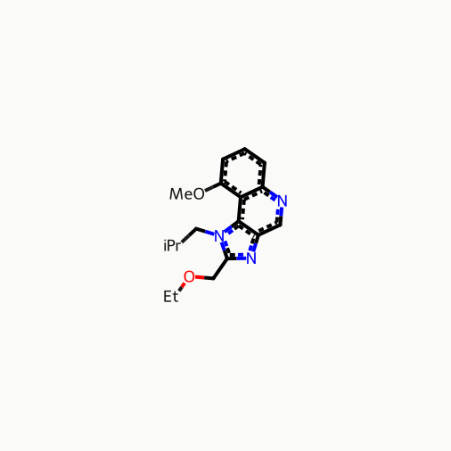 CCOCc1nc2cnc3cccc(OC)c3c2n1CC(C)C